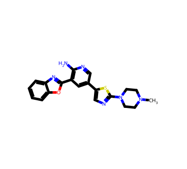 CN1CCN(c2ncc(-c3cnc(N)c(-c4nc5ccccc5o4)c3)s2)CC1